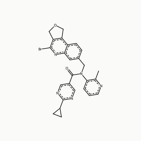 Cc1ncccc1N(Cc1ccc2c3c(c(Br)nc2c1)COC3)C(=O)c1cnc(C2CC2)nc1